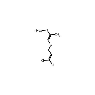 CCCCCCOC(C)=NOCC=C(Cl)Cl